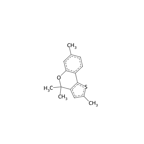 Cc1ccc2c(c1)OC(C)(C)c1cc(C)sc1-2